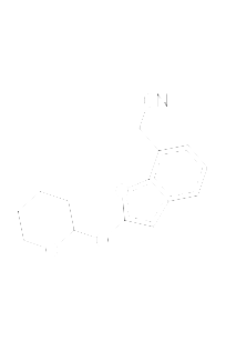 N#CCc1cccc2cc(OC3CCCCO3)oc12